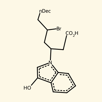 CCCCCCCCCCCC(Br)CC(CC(=O)O)n1cc(O)c2ccccc21